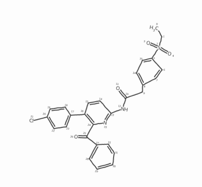 CCS(=O)(=O)c1ccc(CC(=O)Nc2ccc(-c3ccc(Cl)cc3)c(C(=O)c3ccccc3)n2)cc1